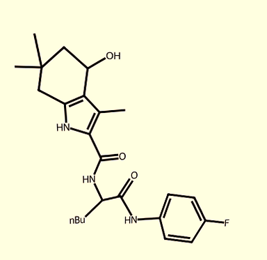 CCCCC(NC(=O)c1[nH]c2c(c1C)C(O)CC(C)(C)C2)C(=O)Nc1ccc(F)cc1